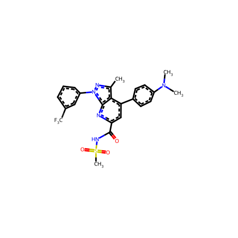 Cc1nn(-c2cccc(C(F)(F)F)c2)c2nc(C(=O)NS(C)(=O)=O)cc(-c3ccc(N(C)C)cc3)c12